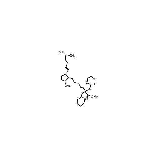 CCCC[C@H](C)CCC=C[C@H]1CC[C@H](OC(C)=O)[C@@H]1CCCCCC(OC1CCCCO1)(OC1CCCCO1)C(=O)OC